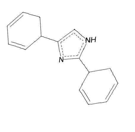 C1=CCC(c2c[nH]c(C3C=CC=CC3)n2)C=C1